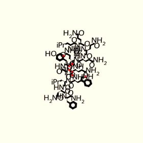 CC(C)C[C@H](NC(=O)[C@H](Cc1c[nH]c2ccccc12)NC(=O)CNC(=O)[C@H](Cc1ccc(O)cc1)NC(=O)[C@H](C)NC(=O)[C@H](CCC(N)=O)NC(=O)[C@H](CCC(N)=O)NC(=O)[C@H](CCC(N)=O)NC(=O)[C@H](CCC(N)=O)NC(=O)[C@H](CCC(N)=O)NC(=O)[C@@H](N)CC(C)C)C(=O)N[C@@H](CC(N)=O)C(=O)N[C@@H](Cc1ccccc1)C(N)=O